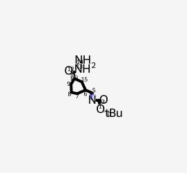 CC(C)(C)OC(=O)/N=C/C1CCC[C@H](C(=O)NN)C1